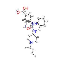 CCCC(C)N1CCC(N(Cc2ccccc2)C(=O)Nc2ccc(C(O)OC)cc2I)CC1